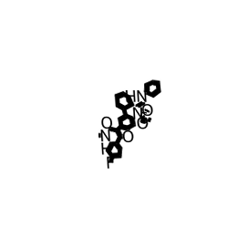 CNC(=O)c1c(-c2ccc(F)cc2)oc2cc(N(CCNc3ccccc3)S(C)(=O)=O)c(-c3ccccc3)cc12